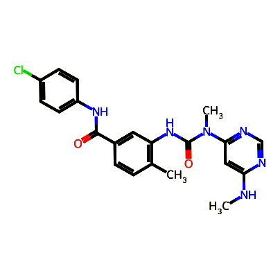 CNc1cc(N(C)C(=O)Nc2cc(C(=O)Nc3ccc(Cl)cc3)ccc2C)ncn1